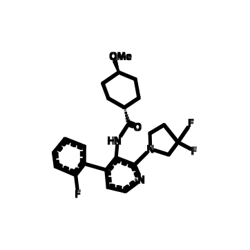 CO[C@H]1CC[C@H](C(=O)Nc2c(-c3ccccc3F)ccnc2N2CCC(F)(F)C2)CC1